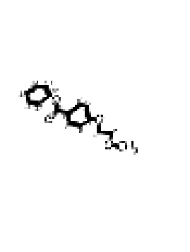 COCCOc1ccc(C(=O)Oc2ccccc2)cc1